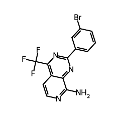 Nc1nccc2c(C(F)(F)F)nc(-c3cccc(Br)c3)nc12